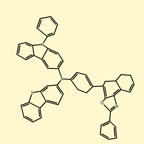 C1=CC2=c3nc(-c4ccccc4)oc3=C(C3=CC=C(N(c4ccc5c(c4)sc4ccccc45)c4ccc5c(c4)c4ccccc4n5-c4ccccc4)CC3)CC2CC1